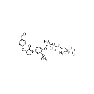 COc1cc(N2CCC(Oc3ccc(C=O)cc3)C2=O)ccc1OCC(C)(C)OCOCC[Si](C)(C)C